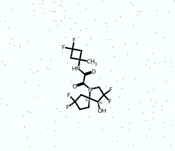 CC1(NC(=O)C(=O)N2CC(F)(F)[C@@H](O)[C@@]23CCC(F)(F)C3)CC(F)(F)C1